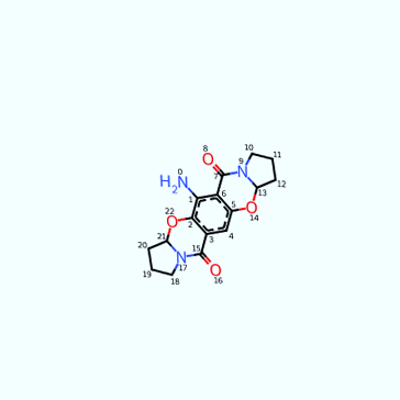 Nc1c2c(cc3c1C(=O)N1CCCC1O3)C(=O)N1CCCC1O2